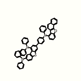 c1ccc(N(c2ccccc2)c2ccc3sc4cc(-c5ccc(N(c6ccccc6)c6cccc7oc8c9ccccc9ccc8c67)cc5)cc(N(c5ccccc5)c5ccccc5)c4c3c2)cc1